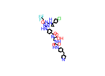 O=C(NC/C(=N/C(=O)c1ccc(Nc2nc(NC3(c4ccc(Cl)cc4)CC3)nc(OCC(F)(F)F)n2)cc1)C(=O)O)C(=O)Nc1ccc(Cc2ccncc2)cc1